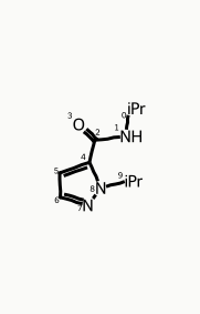 CC(C)NC(=O)c1ccnn1C(C)C